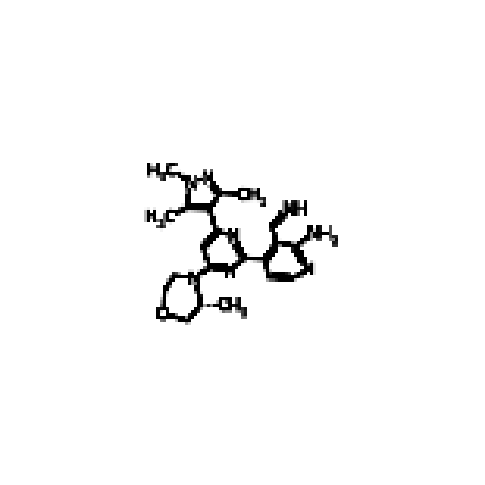 Cc1nn(C)c(C)c1-c1cc(N2CCOC[C@H]2C)nc(-c2ccnc(N)c2C=N)n1